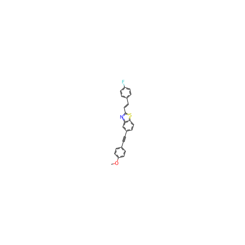 COc1ccc(C#Cc2ccc3sc(C=Cc4ccc(F)cc4)nc3c2)cc1